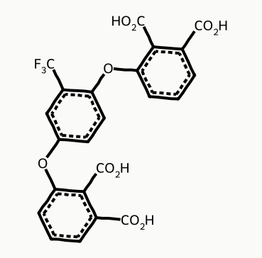 O=C(O)c1cccc(Oc2ccc(Oc3cccc(C(=O)O)c3C(=O)O)c(C(F)(F)F)c2)c1C(=O)O